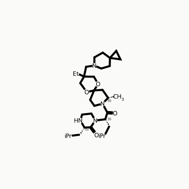 CCC1(CN2CCC3(CC2)CC3)COC2(CCN(C(=O)[C@H](CC(C)C)N3CCN[C@@H](CC(C)C)C3=O)[C@@H](C)C2)OC1